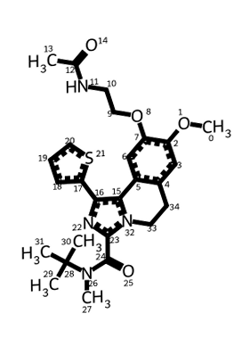 COc1cc2c(cc1OCCNC(C)=O)-c1c(-c3cccs3)nc(C(=O)N(C)C(C)(C)C)n1CC2